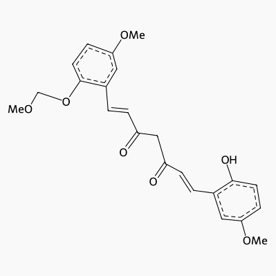 COCOc1ccc(OC)cc1C=CC(=O)CC(=O)C=Cc1cc(OC)ccc1O